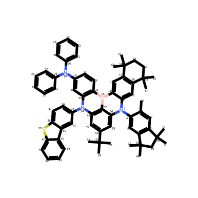 Cc1cc2c(cc1N1c3cc4c(cc3B3c5ccc(N(c6ccccc6)c6ccccc6)cc5N(c5ccc6sc7ccccc7c6c5)c5cc(C(C)(C)C)cc1c53)C(C)(C)CCC4(C)C)C(C)(C)CC2(C)C